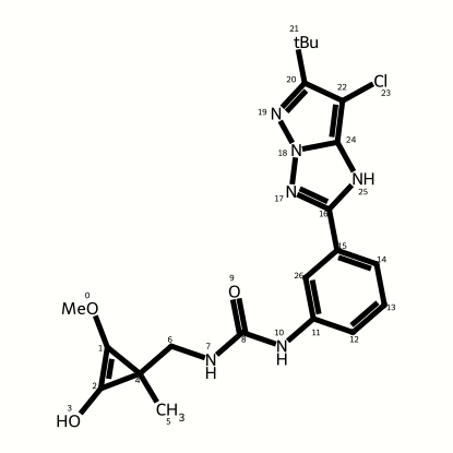 COC1=C(O)C1(C)CNC(=O)Nc1cccc(-c2nn3nc(C(C)(C)C)c(Cl)c3[nH]2)c1